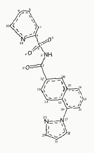 O=C(NS(=O)(=O)c1ccccn1)c1ccc2c(-n3cccn3)cccc2c1